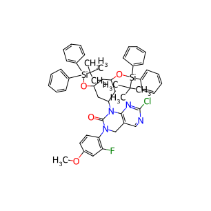 COc1ccc(N2Cc3cnc(Cl)nc3N(C3CC(O[Si](c4ccccc4)(c4ccccc4)C(C)(C)C)CC(O[Si](c4ccccc4)(c4ccccc4)C(C)(C)C)C3)C2=O)c(F)c1